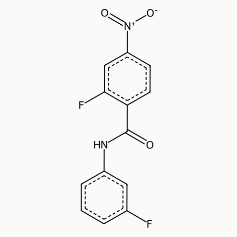 O=C(Nc1cccc(F)c1)c1ccc([N+](=O)[O-])cc1F